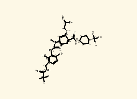 Cn1c(Nc2c(Cl)ccc(CNC(=O)C(C)(C)C)c2Cl)nc2cc(C(=O)N[C@H]3CC[C@H](C(F)(F)F)CC3)c(OCC(F)F)cc21